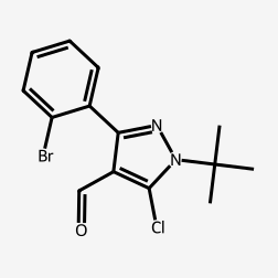 CC(C)(C)n1nc(-c2ccccc2Br)c(C=O)c1Cl